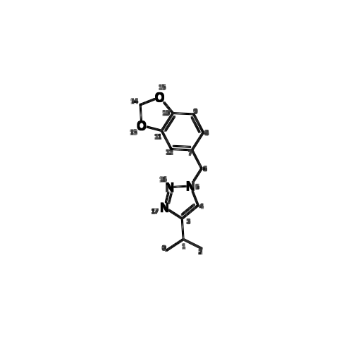 CC(C)c1cn(Cc2ccc3c(c2)OCO3)nn1